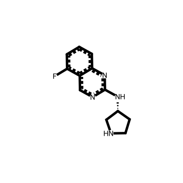 Fc1cccc2nc(N[C@@H]3CCNC3)ncc12